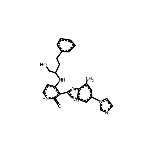 Cc1cc(-n2ccnc2)cc2[nH]c(-c3c(NC(CO)CCc4ccccc4)cc[nH]c3=O)nc12